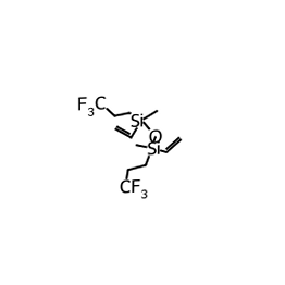 C=C[Si](C)(CCC(F)(F)F)O[Si](C)(C=C)CCC(F)(F)F